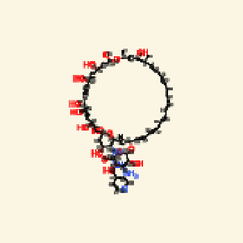 C[C@H]1C[C@H](O)[C@@H](C)/C=C/C=C/C=C/C=C/C=C/C=C/C=C/[C@H](O[C@@H]2OC[C@@H](O)[C@H](N)[C@@H]2O)C[C@@H]2O[C@](O)(C[C@@H](O)C[C@@H](O)[C@H](O)CC[C@@H](O)C[C@@H](O)CC(=O)O1)C[C@H](O)[C@H]2NC(=O)NCc1ccncc1